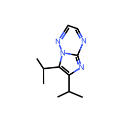 CC(C)c1nc2nccnn2c1C(C)C